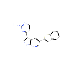 Nc1nccc(-c2c[nH]c3ncc(-c4cc5ccccc5s4)cc23)n1